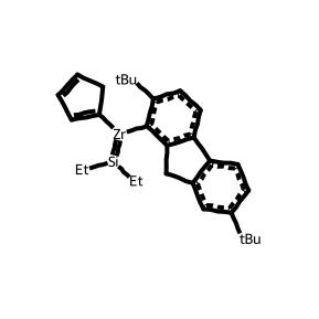 CC[Si](CC)=[Zr]([C]1=CC=CC1)[c]1c(C(C)(C)C)ccc2c1Cc1cc(C(C)(C)C)ccc1-2